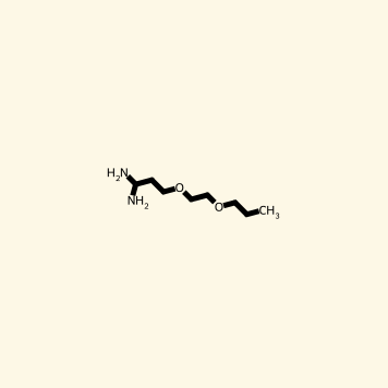 CCCOCCOCCC(N)N